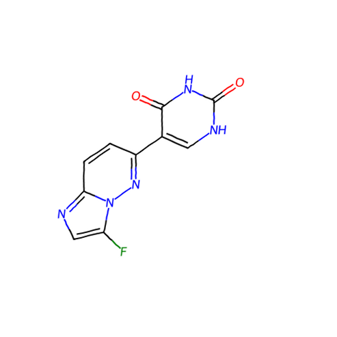 O=c1[nH]cc(-c2ccc3ncc(F)n3n2)c(=O)[nH]1